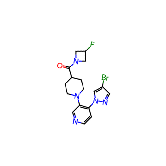 O=C(C1CCN(c2cnccc2-n2cc(Br)cn2)CC1)N1CC(F)C1